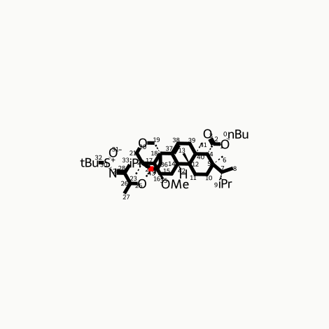 CCCCOC(=O)[C@@H]1[C@@](C)([C@H](C)C(C)C)CC[C@]2(C)[C@H]3CC[C@@H]4[C@@]5(COC[C@]4(C)[C@@H](OC(C)/C(=N/[S+]([O-])C(C)(C)C)C(C)C)[C@H](OC)C5)C3=CC[C@@]12C